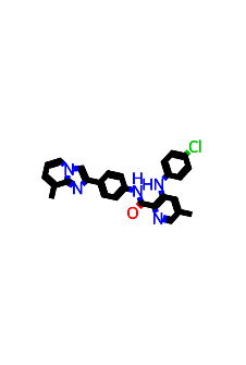 Cc1cnc(C(=O)Nc2ccc(-c3cn4cccc(C)c4n3)cc2)c(Nc2ccc(Cl)cc2)c1